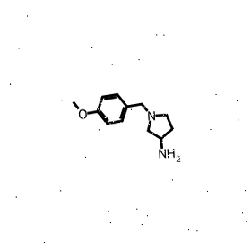 COc1ccc(CN2CCC(N)C2)cc1